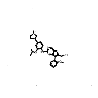 COc1ccccc1-c1c(CO)sc2cnc(Nc3ccc(C4CCN(C)C4)cc3OC(C)C)nc12